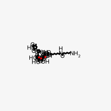 CC1=CC([C@H]2CC(O)[C@@H](COP(=O)(O)OP(=O)(O)OP(=O)(O)OP(=O)(O)OP(=O)(O)OP(=O)(O)OCCCCCCNC(=O)CCCCCN)O2)C(=O)NC1=O